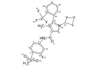 Cc1c(C(=O)Nc2ccc(S(C)(=O)=O)c(F)c2)cn(C2CCC2)c1-c1ccccc1C(F)(F)F